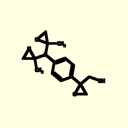 CC1(N(c2ccc(C3(CO)CO3)cc2)C2(C)CO2)CO1